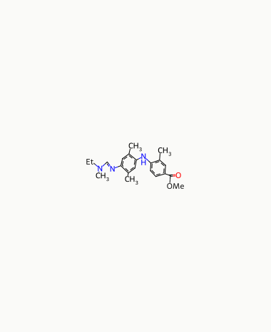 CCN(C)C=Nc1cc(C)c(Nc2ccc(C(=O)OC)cc2C)cc1C